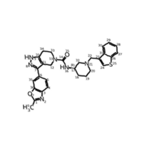 Cc1nc2ccc(-c3n[nH]c4c3CN(C(=O)N[C@@H]3CCCN(Cc5csc6ccccc56)C3)CC4)cc2o1